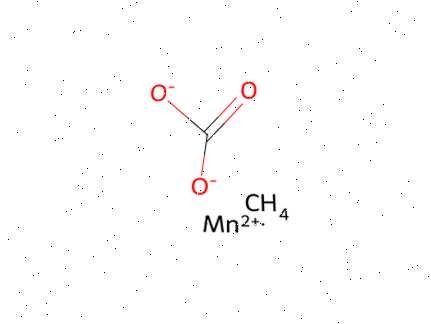 C.O=C([O-])[O-].[Mn+2]